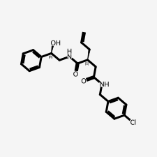 C=CC[C@@H](CC(=O)NCc1ccc(Cl)cc1)C(=O)NC[C@H](O)c1ccccc1